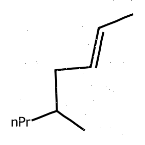 CC=CCC(C)CCC